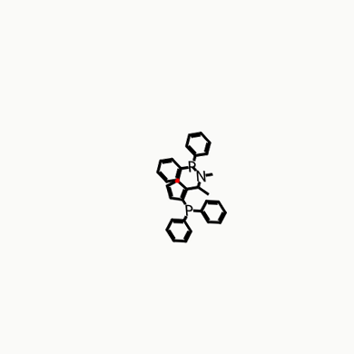 CC(C1=C(P(c2ccccc2)c2ccccc2)C=CC1)N(C)P(c1ccccc1)c1ccccc1